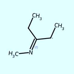 C[CH]/C(CC)=N/C